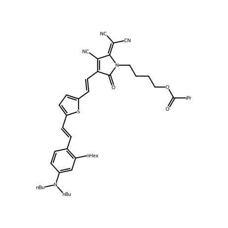 CCCCCCc1cc(N(CCCC)CCCC)ccc1/C=C/c1ccc(/C=C/C2=C(C#N)C(=C(C#N)C#N)N(CCCCOC(=O)C(C)C)C2=O)s1